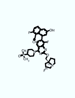 C#Cc1c(F)ccc2cc(O)cc(-c3ccc4c(N5CCC(P(C)(C)=O)CC5)nc(OC[C@@]56CCCN5C[C@H](F)C6)nc4c3F)c12